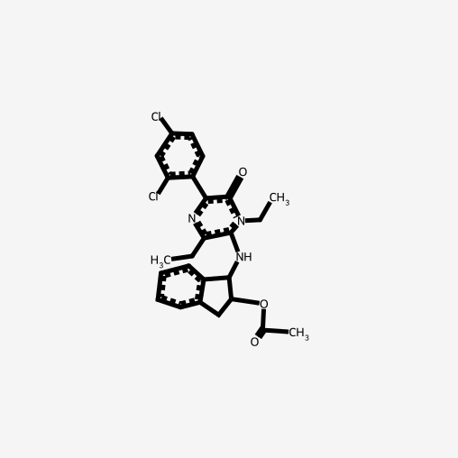 CCc1nc(-c2ccc(Cl)cc2Cl)c(=O)n(CC)c1NC1c2ccccc2CC1OC(C)=O